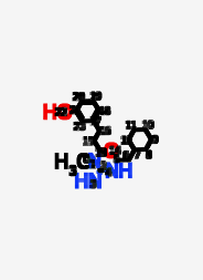 CN(C(=N)NCCC1CCCCC1)C(=O)CCc1cccc(O)c1